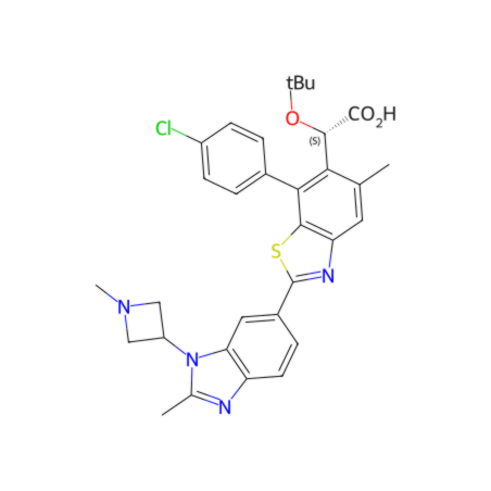 Cc1cc2nc(-c3ccc4nc(C)n(C5CN(C)C5)c4c3)sc2c(-c2ccc(Cl)cc2)c1[C@H](OC(C)(C)C)C(=O)O